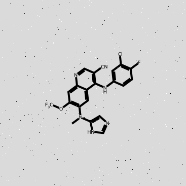 CN(c1cnc[nH]1)c1cc2c(Nc3ccc(F)c(Cl)c3)c(C#N)cnc2cc1OC(F)(F)F